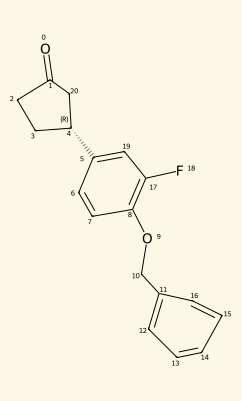 O=C1CC[C@@H](c2ccc(OCc3ccccc3)c(F)c2)C1